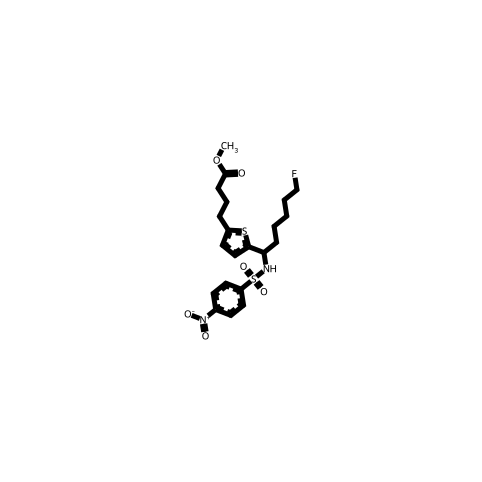 COC(=O)CCCc1ccc(C(CCCCCF)NS(=O)(=O)c2ccc([N+](=O)[O-])cc2)s1